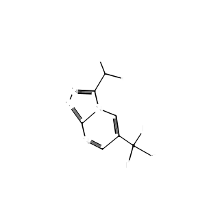 OC(O)c1nnc2ncc(C(F)(F)F)cn12